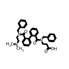 CN(C)CCN(Cc1ccccc1)C(=O)c1ccccc1-c1ccccc1C(=O)N(CCC(=O)O)Cc1ccccc1